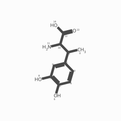 CC(c1ccc(O)c(O)c1)C(N)C(=O)O